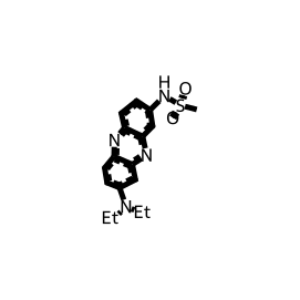 CCN(CC)c1ccc2nc3ccc(NS(C)(=O)=O)cc3nc2c1